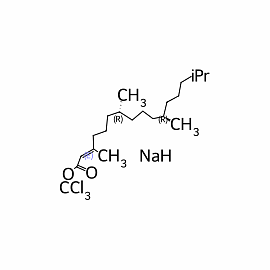 C/C(=C\C(=O)OC(Cl)(Cl)Cl)CCC[C@H](C)CCC[C@H](C)CCCC(C)C.[NaH]